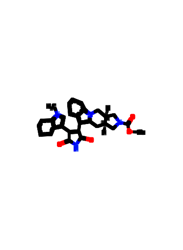 Cn1cc(C2=C(c3c4n(c5ccccc35)C[C@H]3CN(C(=O)OC(C)(C)C)C[C@H]3C4)C(=O)NC2=O)c2ccccc21